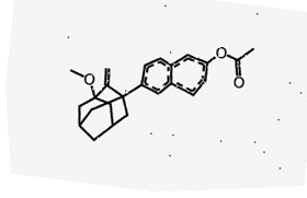 C=C1C2(OC)CC3CC(C2)CC1(c1ccc2cc(OC(C)=O)ccc2c1)C3